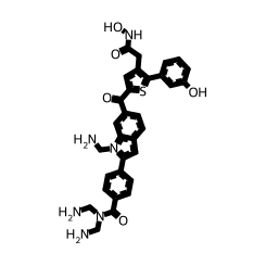 NCN(CN)C(=O)c1ccc(-c2cc3ccc(C(=O)c4cc(CC(=O)NO)c(-c5cccc(O)c5)s4)cc3n2CN)cc1